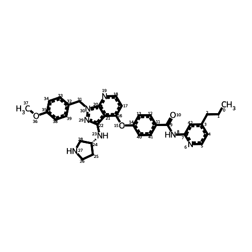 CCCc1ccnc(NC(=O)c2ccc(Oc3ccnc4c3c(N[C@@H]3CCNC3)nn4Cc3ccc(OC)cc3)cc2)c1